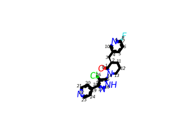 O=C1[C@@H](Cc2ccc(F)nc2)CCCN1c1[nH]nc(-c2ccncc2)c1Cl